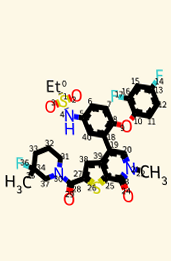 CCS(=O)(=O)Nc1ccc(Oc2ccc(F)cc2F)c(-c2cn(C)c(=O)c3sc(C(=O)N4CCCC(C)(F)C4)cc23)c1